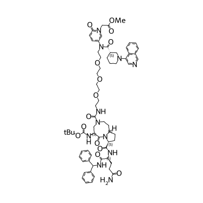 COC(=O)Cn1cc(N(CCOCCOCCOCCNC(=O)N2CC[C@H]3CC[C@@H](C(=O)N[C@@H](CCC(N)=O)C(=O)NC(c4ccccc4)c4ccccc4)N3C(=O)[C@@H](NC(=O)OC(C)(C)C)C2)C(=O)[C@H]2CCCN(c3cncc4ccccc34)C2)ccc1=O